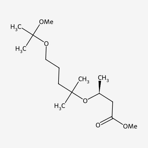 COC(=O)C[C@H](C)OC(C)(C)CCCOC(C)(C)OC